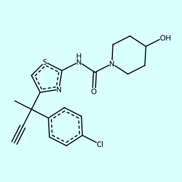 C#CC(C)(c1ccc(Cl)cc1)c1csc(NC(=O)N2CCC(O)CC2)n1